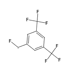 F[CH]c1cc(C(F)(F)F)cc(C(F)(F)F)c1